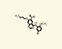 COCCOc1cc2ncnc(Nc3cc(Br)ccc3OC)c2cc1[N+](=O)[O-]